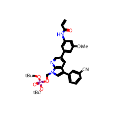 C=CC(=O)Nc1cc(OC)cc(-c2cnc3c(c2)c(-c2cccc(C#N)c2)cn3COP(=O)(OC(C)(C)C)OC(C)(C)C)c1